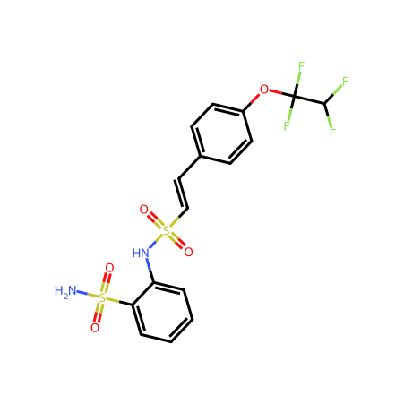 NS(=O)(=O)c1ccccc1NS(=O)(=O)C=Cc1ccc(OC(F)(F)C(F)F)cc1